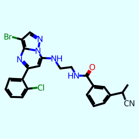 CC(C#N)c1cccc(C(=O)NCCNc2cc(-c3ccccc3Cl)nc3c(Br)cnn23)c1